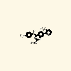 Cc1cccnc1-c1ccc2c(Nc3ccc(C(F)(F)F)cc3)nc(OC(C)C)nc2c1